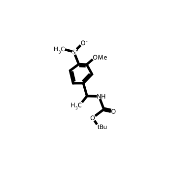 COc1cc(C(C)NC(=O)OC(C)(C)C)ccc1[S+](C)[O-]